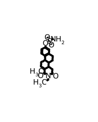 CCN1C(=O)CC2C3CCc4cc(OS(N)(=O)=O)ccc4C3CC[C@]2(C)C1=O